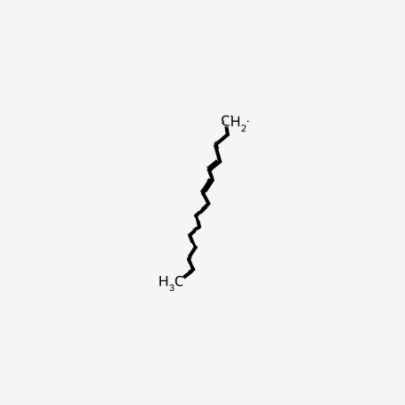 [CH2]CCC=CC=CCCCCCCCC